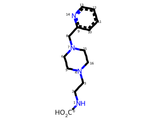 O=C(O)NCCN1CCN(Cc2ccccn2)CC1